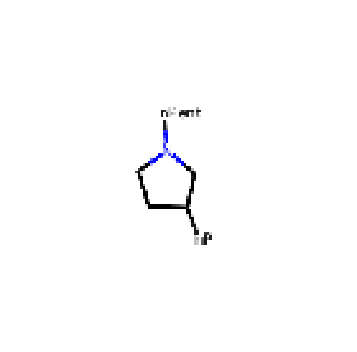 CCCCCN1CCC(CCC)C1